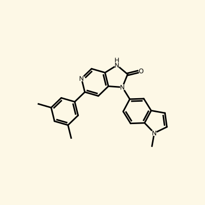 Cc1cc(C)cc(-c2cc3c(cn2)[nH]c(=O)n3-c2ccc3c(ccn3C)c2)c1